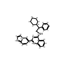 c1ccc(C(CNc2nc(-c3ccc4nccn4c3)nc3ccccc23)C2CCCCC2)cc1